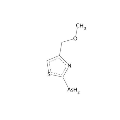 COCc1csc([AsH2])n1